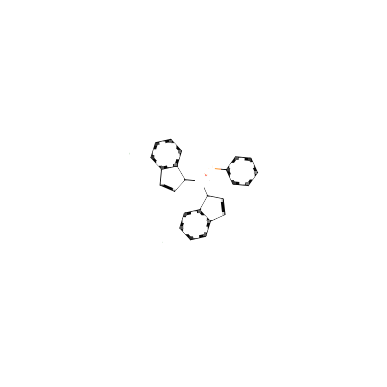 C1=C[CH]([Ti+2](=[P]c2ccccc2)[CH]2C=Cc3ccccc32)c2ccccc21.[Cl-].[Cl-]